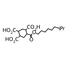 CC(C)CCCCCCOC(=O)C1CC(C(=O)O)C(C(=O)O)CC1C(=O)O